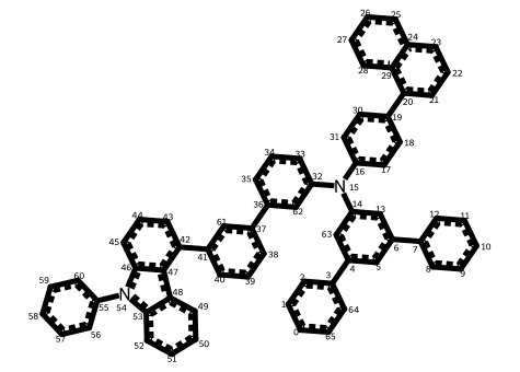 c1ccc(-c2cc(-c3ccccc3)cc(N(c3ccc(-c4cccc5ccccc45)cc3)c3cccc(-c4cccc(-c5cccc6c5c5ccccc5n6-c5ccccc5)c4)c3)c2)cc1